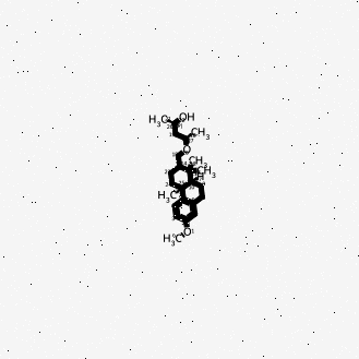 COc1ccc2c(c1)CC[C@H]1C(C)(C)C(CO[C@H](C)C[C@@H](C)O)CC[C@]21C